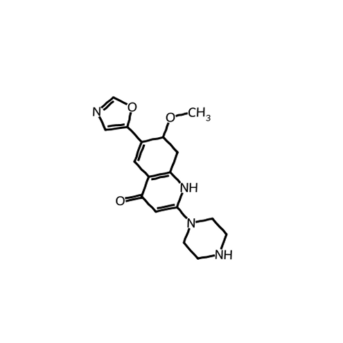 COC1Cc2[nH]c(N3CCNCC3)cc(=O)c2C=C1c1cnco1